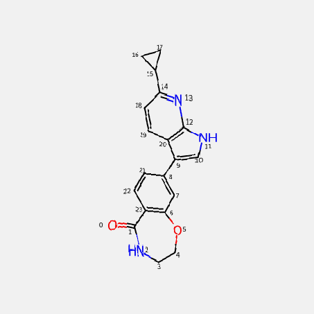 O=C1NCCOc2cc(-c3c[nH]c4nc(C5CC5)ccc34)ccc21